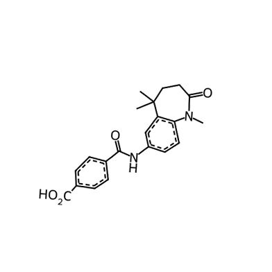 CN1C(=O)CCC(C)(C)c2cc(NC(=O)c3ccc(C(=O)O)cc3)ccc21